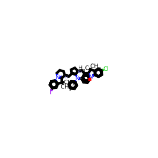 CC1(C)C2=C(/C=C3/CCC(/C=C4\CCC[N+]5=C4C(C)(C)c4cc(I)ccc45)=C3N(c3ccccc3)c3ccccc3)CCCN2c2ccc(Cl)cc21